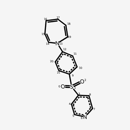 O=S(=O)(c1ccncc1)c1ccc(N2C=CC=CC=C2)cc1